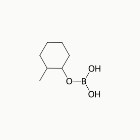 CC1CCCCC1OB(O)O